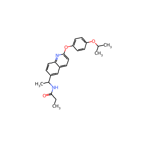 CCC(=O)NC(C)c1ccc2nc(Oc3ccc(OC(C)C)cc3)ccc2c1